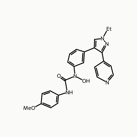 CCn1cc(-c2cccc(N(O)C(=O)Nc3ccc(OC)cc3)c2)c(-c2ccncc2)n1